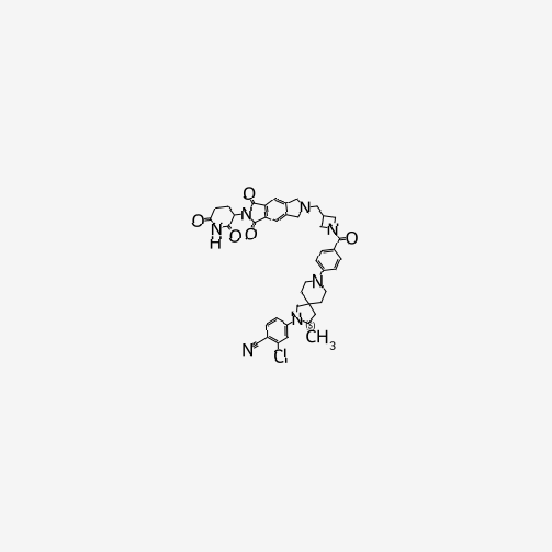 C[C@H]1CC2(CCN(c3ccc(C(=O)N4CC(CN5Cc6cc7c(cc6C5)C(=O)N(C5CCC(=O)NC5=O)C7=O)C4)cc3)CC2)CN1c1ccc(C#N)c(Cl)c1